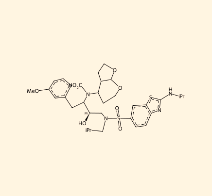 COc1cccc(CC([C@H](O)CN(CC(C)C)S(=O)(=O)c2ccc3nc(NC(C)C)sc3c2)N(C(=O)O)C2CCOC3OCCC32)c1